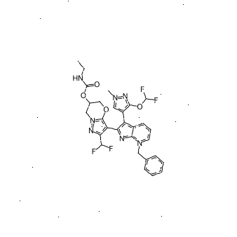 CCNC(=O)OC1COc2c(-c3nc4n(Cc5ccccc5)cccc-4c3-c3cn(C)nc3OC(F)F)c(C(F)F)nn2C1